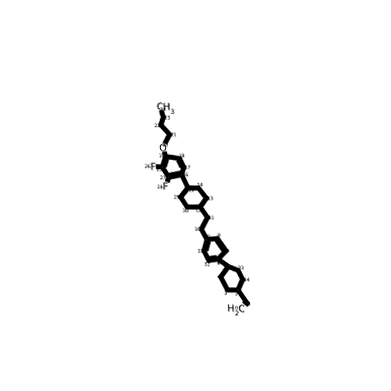 C=CC1CCC(c2ccc(CCC3CCC(c4ccc(OCCCC)c(F)c4F)CC3)cc2)CC1